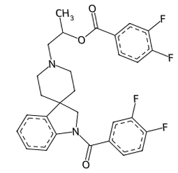 CC(CN1CCC2(CC1)CN(C(=O)c1ccc(F)c(F)c1)c1ccccc12)OC(=O)c1ccc(F)c(F)c1